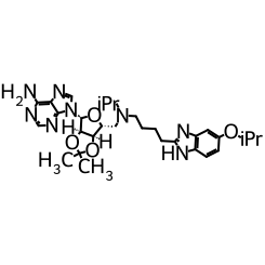 CC(C)Oc1ccc2[nH]c(CCCCN(C[C@H]3O[C@@H](n4cnc5c(N)ncnc54)[C@@H]4OC(C)(C)O[C@@H]43)C(C)C)nc2c1